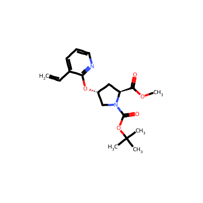 C=Cc1cccnc1O[C@@H]1C[C@@H](C(=O)OC)N(C(=O)OC(C)(C)C)C1